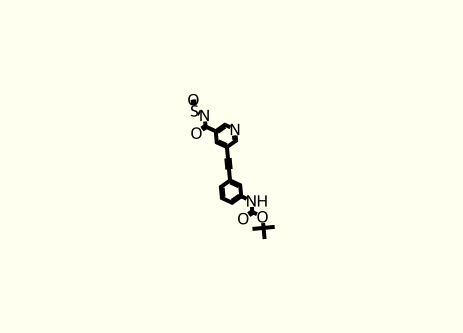 CC(C)(C)OC(=O)Nc1cccc(C#Cc2cncc(C(=O)N=S=O)c2)c1